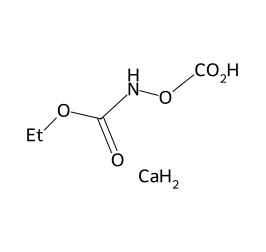 CCOC(=O)NOC(=O)O.[CaH2]